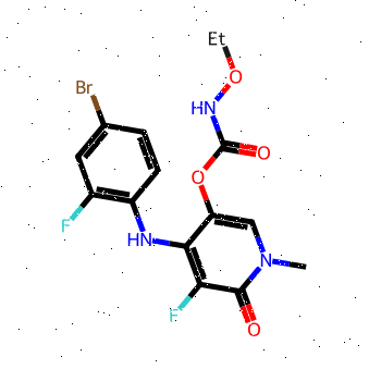 CCONC(=O)Oc1cn(C)c(=O)c(F)c1Nc1ccc(Br)cc1F